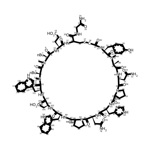 CCCC[C@H]1C(=O)N(C)[C@@H](CCCC)C(=O)N[C@@H](CCC(=O)O)C(=O)NC(C(=O)NCC(N)=O)CSCC(=O)N[C@@H](Cc2ccc(O)cc2)C(=O)N(C)[C@@H](C)C(=O)N[C@@H](CC(N)=O)C(=O)N2CCC[C@H]2C(=O)N[C@@H](Cc2c[nH]cn2)C(=O)N[C@@H](CC(N)=O)C(=O)N2CCC[C@H]2C(=O)N[C@@H](Cc2c[nH]c3ccccc23)C(=O)N[C@@H](CC(=O)O)C(=O)N[C@@H](Cc2c[nH]c3ccccc23)C(=O)N1C